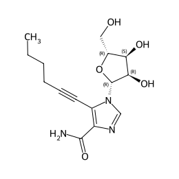 CCCCC#Cc1c(C(N)=O)ncn1[C@@H]1O[C@H](CO)[C@@H](O)[C@H]1O